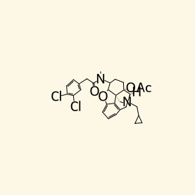 CC(=O)O[C@@]12CCC(N(C)C(=O)Cc3ccc(Cl)c(Cl)c3)C3Oc4cccc5c4[C@@]31CCN(CC1CC1)[C@@H]2C5